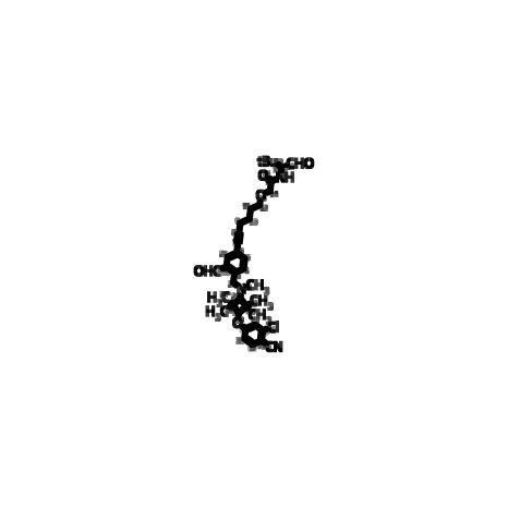 CN(Cc1ccc(C#CCCCCOCC(=O)N[C@H](C=O)C(C)(C)C)cc1C=O)C1C(C)(C)C(Oc2ccc(C#N)c(Cl)c2)C1(C)C